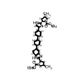 CC1CC(c2nc3cc(-c4ccc(-c5ccc(-c6c[nH]c([C@@H]7C[C@H](C)CN7C(=O)OC(C)(C)C)n6)cc5)cc4)ccc3[nH]2)N(C(=O)OC(C)(C)C)C1